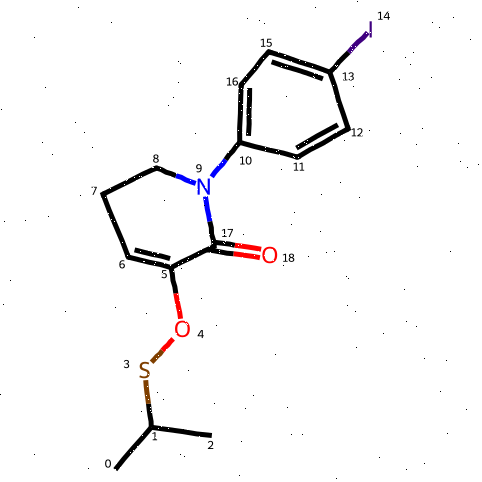 CC(C)SOC1=CCCN(c2ccc(I)cc2)C1=O